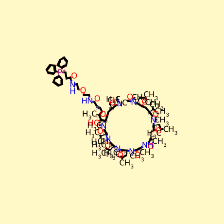 CC[C@@H]1CC(=O)[C@H]([C@H](O)[C@H](C)C/C=C/C(=O)NCCOCCNC(=O)CC[P+](c2ccccc2)(c2ccccc2)c2ccccc2)N(C)C(=O)[C@H](C(C)C)N(C)C(=O)[C@H](CC(C)C)N(C)C(=O)[C@H](CC(C)C)N(C)C(=O)[C@@H](C)NC(=O)[C@H](C)CC(=O)[C@H](CC(C)C)N(C)C(=O)[C@H](C(C)C)CC(=O)[C@H](CC(C)C)N(C)C(=O)CN(C)C1=O